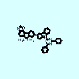 CC1(C)c2cc(-c3ccc4c(c3)c3ccccc3n4-c3nc(-c4ccccc4)nc(-c4ccccc4)n3)ccc2-c2c1ccc1ncoc21